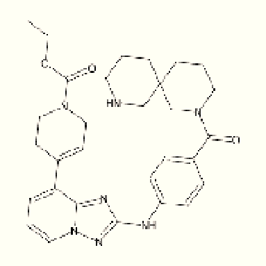 CCOC(=O)N1CC=C(c2cccn3nc(Nc4ccc(C(=O)N5CCCC6(CCCNC6)C5)cc4)nc23)CC1